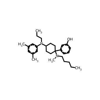 CCCCCN(C)C1(c2cccc(O)c2)CCC(N(CCC)c2cc(C)cc(C)c2)CC1